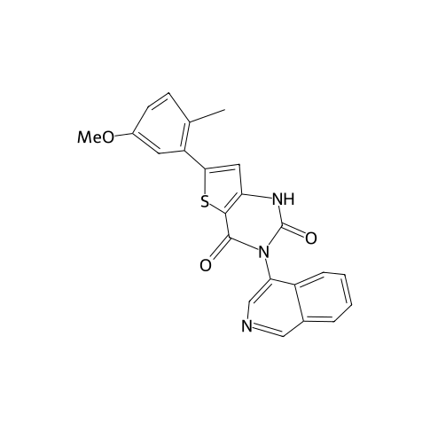 COc1ccc(C)c(-c2cc3[nH]c(=O)n(-c4cncc5ccccc45)c(=O)c3s2)c1